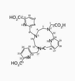 O=C(O)CN1CCN(Cc2cccc(C(=O)O)n2)CCN(Cc2cccc(C(=O)O)n2)Cc2cccc(n2)C1